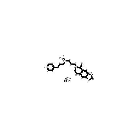 CN(CCCc1ccncc1)CCCN1CCc2cc3c(cc2C1=O)OCO3.Cl.Cl